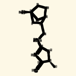 C[C@H]1SC(NCC2C[C@@H]3CCC2C3)=NC1=O